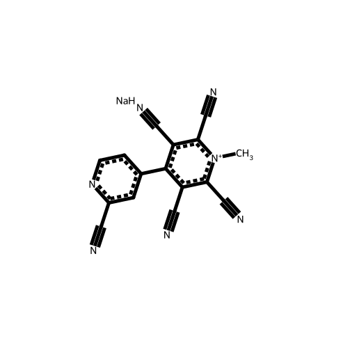 C[n+]1c(C#N)c(C#N)c(-c2ccnc(C#N)c2)c(C#N)c1C#N.[NaH]